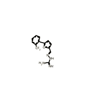 N=C(N)NN=Cc1ccc(-c2ccccc2C(F)(F)F)o1